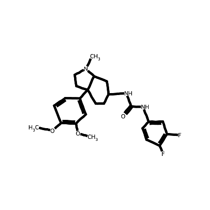 COc1ccc(C23CCC(NC(=O)Nc4ccc(F)c(F)c4)CC2N(C)CC3)cc1OC